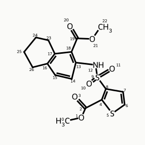 COC(=O)c1sccc1S(=O)(=O)Nc1ccc2c(c1C(=O)OC)CCCC2